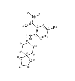 CN(C)C(=O)c1cc(F)ccc1NC1CCC2(CC1)OCCO2